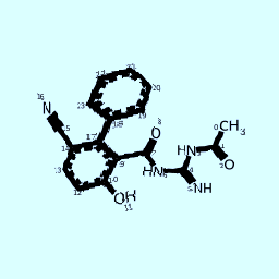 CC(=O)NC(=N)NC(=O)c1c(O)ccc(C#N)c1-c1ccccc1